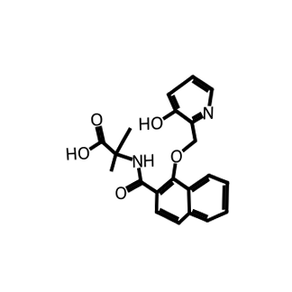 CC(C)(NC(=O)c1ccc2ccccc2c1OCc1ncccc1O)C(=O)O